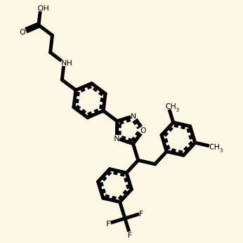 Cc1cc(C)cc(CC(c2cccc(C(F)(F)F)c2)c2nc(-c3ccc(CNCCC(=O)O)cc3)no2)c1